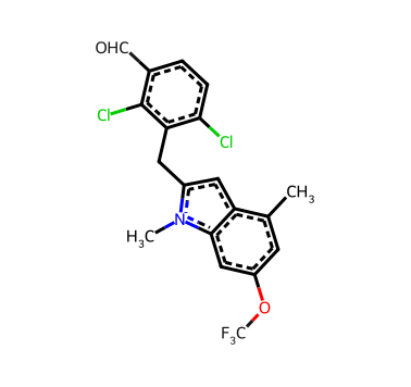 Cc1cc(OC(F)(F)F)cc2c1cc(Cc1c(Cl)ccc(C=O)c1Cl)n2C